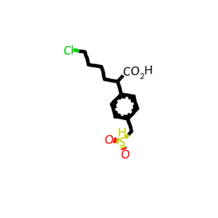 O=C(O)C(CCCCCl)c1ccc(C[SH](=O)=O)cc1